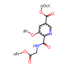 CCCCCCCCOC(=O)c1cnc(C(=O)NCC(=O)OCCC)c(OC(C)C)c1